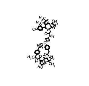 Cc1sc2c(c1C)C(c1ccc(Cl)cc1)=N[C@@H](CC(=O)N[C@H]1C[C@H](Oc3ccc(CC(=O)N[C@H](C(=O)N4C[C@H](O)C[C@H]4C(=O)N[C@@H](C)c4ccc(-c5ncon5)cc4)C(C)(C)C)cc3)C1)c1nnc(C)n1-2